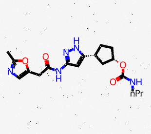 CCCNC(=O)O[C@H]1CC[C@@H](c2cc(NC(=O)Cc3cnc(C)o3)n[nH]2)C1